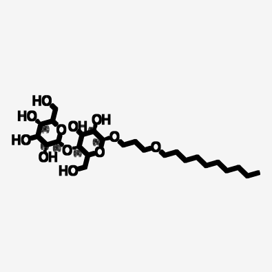 CCCCCCCCCCOCCCO[C@H]1OC(CO)[C@H](O[C@@H]2OC(CO)[C@H](O)C(O)[C@H]2O)C(O)[C@H]1O